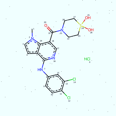 Cl.Cn1ccc2c(Nc3ccc(Cl)c(Cl)c3)ncc(C(=O)N3CCS(O)(O)CC3)c21